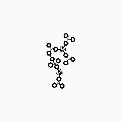 c1ccc(N(c2ccccc2)c2ccc(-c3nc(-c4ccc(N(c5ccccc5)c5ccccc5)cc4)nc(-c4ccc(N(c5ccccc5)c5cccc(-c6ccc([Si](c7ccccc7)(c7ccccc7)c7ccc(-c8nnc(-c9ccc(N(c%10ccccc%10)c%10ccccc%10)cc9)o8)cc7)cc6)c5)cc4)n3)cc2)cc1